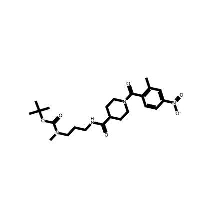 Cc1cc([N+](=O)[O-])ccc1C(=O)N1CCC(C(=O)NCCCN(C)C(=O)OC(C)(C)C)CC1